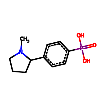 CN1CCCC1c1ccc(P(=O)(O)O)cc1